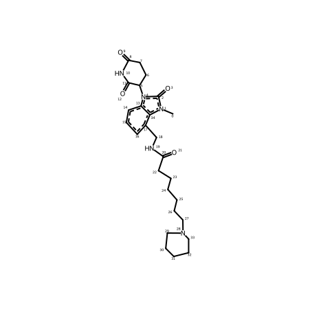 Cn1c(=O)n(C2CCC(=O)NC2=O)c2cccc(CNC(=O)CCCCCCN3CCCCC3)c21